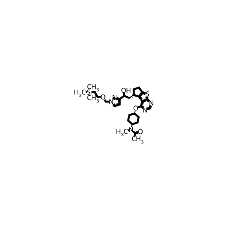 CC(=O)N(C)[C@H]1CC[C@H](Oc2ncnc3sc4c(c23)[C@@H](CC(O)c2ccn(COCC[Si](C)(C)C)n2)CC4)CC1